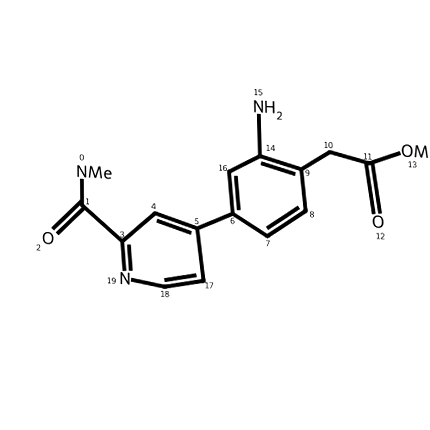 CNC(=O)c1cc(-c2ccc(CC(=O)OC)c(N)c2)ccn1